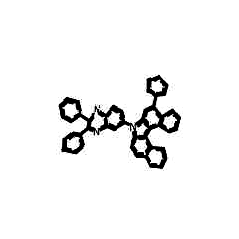 c1ccc(-c2nc3ccc(-n4c5ccc6ccccc6c5c5c6ccccc6c(-c6ccccc6)cc54)cc3nc2-c2ccccc2)cc1